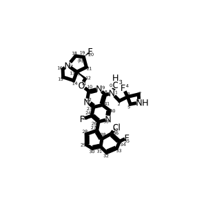 CN(CC1(F)CNC1)c1nc(OC[C@@]23CCCN2C[C@H](F)C3)nc2c(F)c(-c3cccc4ccc(F)c(Cl)c34)ncc12